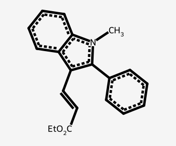 CCOC(=O)C=Cc1c(-c2ccccc2)n(C)c2ccccc12